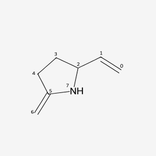 C=CC1CCC(=C)N1